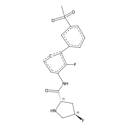 CS(=O)(=O)c1cccc(-c2cccc(NC(=O)[C@@H]3C[C@@H](F)CN3)c2F)c1